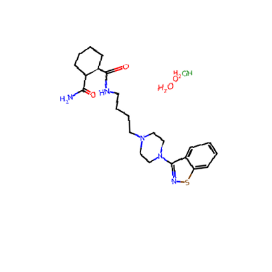 Cl.NC(=O)C1CCCCC1C(=O)NCCCCN1CCN(c2nsc3ccccc23)CC1.O.O